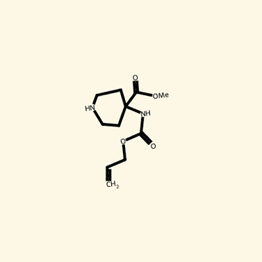 C=CCOC(=O)NC1(C(=O)OC)CCNCC1